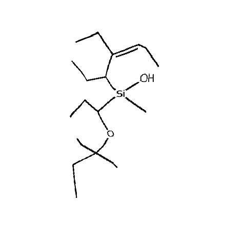 CC=C(CC)C(CC)[Si](C)(O)C(CC)OC(C)(C)CC